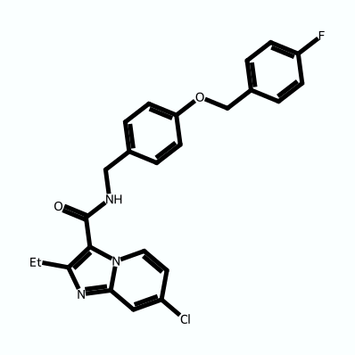 CCc1nc2cc(Cl)ccn2c1C(=O)NCc1ccc(OCc2ccc(F)cc2)cc1